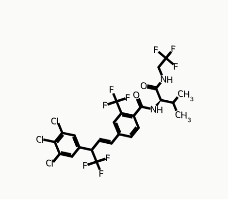 CC(C)[C@@H](NC(=O)c1ccc(/C=C/C(c2cc(Cl)c(Cl)c(Cl)c2)C(F)(F)F)cc1C(F)(F)F)C(=O)NCC(F)(F)F